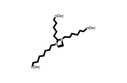 CCCCCCCCCCCCCCCCCN1C=CN(CCCCCCCCCCCCCCCC)C1CCCCCCCCCCCCCCC